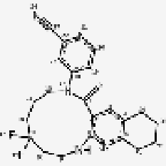 C=C1c2cc3c(nc2NCCC(F)(F)CCCN1c1ccnc(C#N)c1)CCCC3